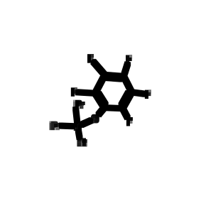 CC[Si](Oc1c(F)c(F)c(F)c(F)c1F)(C(C)C)C(C)C